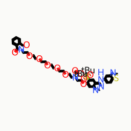 CC(C)(C)OC(=O)N(CCOCCOCCOCCOCCOCCN1C(=O)c2ccccc2C1=O)CCOc1cc2ncnc(Nc3ccc4scnc4c3)c2cc1S(=O)(=O)C(C)(C)C